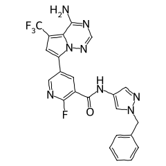 Nc1ncnn2c(-c3cnc(F)c(C(=O)Nc4cnn(Cc5ccccc5)c4)c3)cc(C(F)(F)F)c12